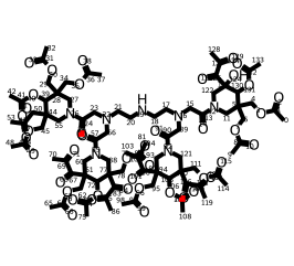 CC(=O)OCC1(COC(C)=O)CN(C(=O)CN(CCNCCN(CC(=O)N2CC(COC(C)=O)(COC(C)=O)C(OC(C)=O)C(COC(C)=O)(C(=O)C(C)=O)C2)CC(=O)N2CC(COC(C)=O)(C(=O)C(C)=O)C(OC(C)=O)C(COC(C)=O)(C(=O)C(C)=O)C2)CC(=O)N2CC(COC(C)=O)(C(=O)C(C)=O)C(OC(C)=O)C(COC(C)=O)(C(=O)C(C)=O)C2)CC(O)(C(=O)C(C)=O)C1OC(C)=O